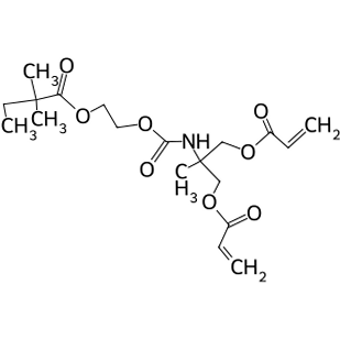 C=CC(=O)OCC(C)(COC(=O)C=C)NC(=O)OCCOC(=O)C(C)(C)CC